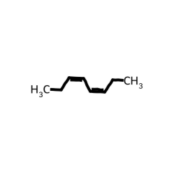 CC/C=C\C=C/CC